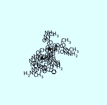 C=C1N=C(N)C(C)=CN1[C@@H]1O[C@]2(COP(=O)(S)OC3[C@@H]4O[C@@H](C)[C@]3(COP(=O)(O)OC3[C@@H]5O[C@@H](C)[C@]3(COP(=O)(S)OC3C[C@H](n6cc(C)c(N)nc6=O)O[C@@H]3COP(=O)(S)OC3C[C@H](n6cc(C)c(N)nc6=O)O[C@@H]3CC)O[C@H]5n3cnc5c(=O)[nH]c(N)nc53)O[C@H]4n3cnc4c(N)ncnc43)C(OC(=O)OCc3ccccc3)[C@@H]1O[C@H]2C